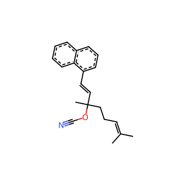 CC(C)=CCCC(C)(C=Cc1cccc2ccccc12)OC#N